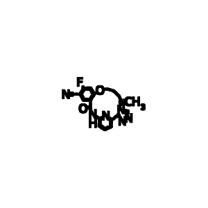 C[C@H]1CCCOc2cc(F)c(C#N)cc2C(=O)Nc2cccc(n2)-c2nncn21